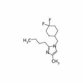 CCCCc1nc(C)cn1CC1CCC(F)(F)CC1